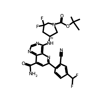 CC(C)(C)OC(=O)N1C[C@@H](Nc2ncnc3c(C(N)=O)cc(-c4ccc(C(F)F)cc4C#N)nc23)CC(F)(F)C1